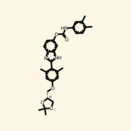 Cc1ccc(NC(=O)Oc2ccc3nc(-c4c(C)cc(OC[C@@H]5COC(C)(C)O5)cc4C)[nH]c3c2)cc1C